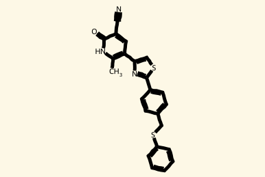 Cc1[nH]c(=O)c(C#N)cc1-c1csc(-c2ccc(CSc3ccccc3)cc2)n1